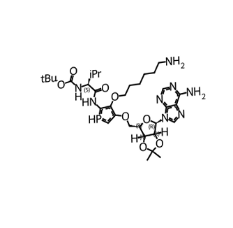 CC(C)[C@H](NC(=O)OC(C)(C)C)C(=O)Nc1[pH]cc(OC[C@H]2O[C@@H](n3cnc4c(N)ncnc43)[C@@H]3OC(C)(C)O[C@@H]32)c1OCCCCCCN